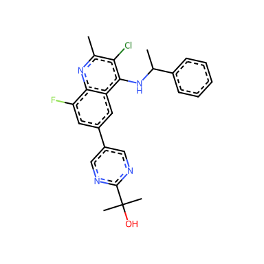 Cc1nc2c(F)cc(-c3cnc(C(C)(C)O)nc3)cc2c(NC(C)c2ccccc2)c1Cl